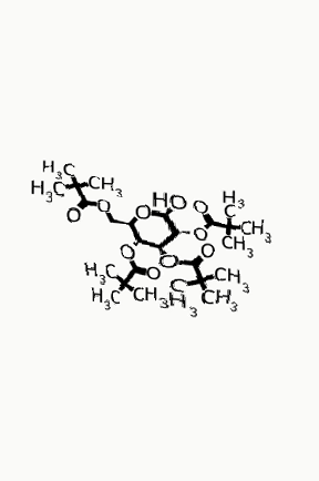 CC(C)(C)C(=O)OC[C@H]1O[C@@H](O)[C@H](OC(=O)C(C)(C)C)[C@@H](OC(=O)C(C)(C)C)[C@@H]1OC(=O)C(C)(C)C